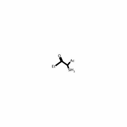 CCC(=O)C([SiH3])C(C)=O